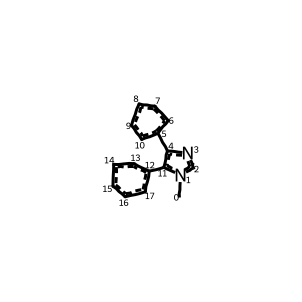 Cn1[c]nc(-c2ccccc2)c1-c1ccccc1